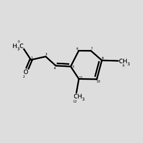 CC(=O)C/C=C1\CCC(C)=CC1C